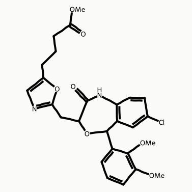 COC(=O)CCCc1cnc(CC2OC(c3cccc(OC)c3OC)c3cc(Cl)ccc3NC2=O)o1